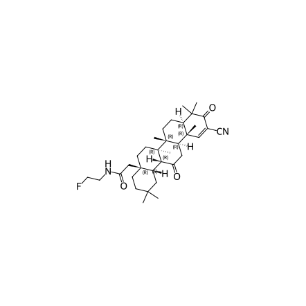 CC1(C)CC[C@]2(CC(=O)NCCF)CC[C@]3(C)[C@H](C(=O)C[C@@H]4[C@@]5(C)C=C(C#N)C(=O)C(C)(C)[C@@H]5CC[C@]43C)[C@@H]2C1